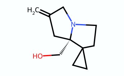 C=C1CN2CCC3(CC3)[C@@]2(CO)C1